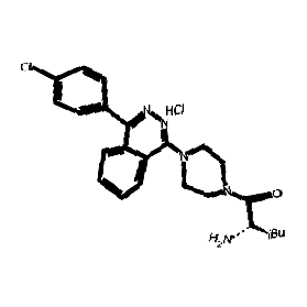 CC[C@H](C)[C@H](N)C(=O)N1CCN(c2nnc(-c3ccc(Cl)cc3)c3ccccc23)CC1.Cl